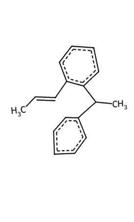 CC=Cc1ccccc1C(C)c1ccccc1